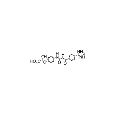 CC(Oc1ccc(NC(=O)NC(=O)c2ccc(C(=N)N)cc2)cc1)C(=O)O